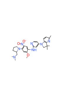 COc1cc(N2CCCC2CN(C)C)c([N+](=O)[O-])cc1Nc1cc(N2CC(C)(C)c3nc(C)ccc32)ccn1